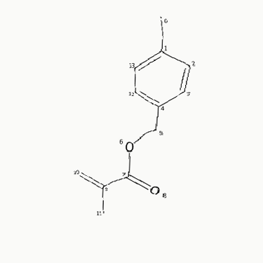 [CH2]c1ccc(COC(=O)C(=C)C)cc1